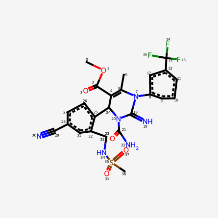 COC(=O)C1=C(C)N(c2cccc(C(F)(F)F)c2)C(=N)N(C(N)=O)C1c1ccc(C#N)cc1CNS(C)(=O)=O